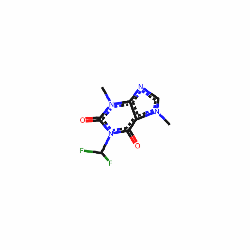 Cn1cnc2c1c(=O)n(C(F)F)c(=O)n2C